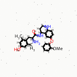 COc1ccccc1Oc1ccc2c(c1)C(NC(=O)C(N)Cc1c(C)cc(O)cc1C)CCN2